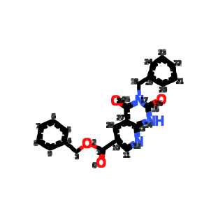 O=C(OCc1ccccc1)c1cnc2[nH]c(=O)n(Cc3ccccc3)c(=O)c2c1